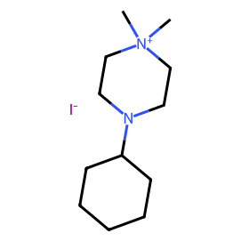 C[N+]1(C)CCN(C2CCCCC2)CC1.[I-]